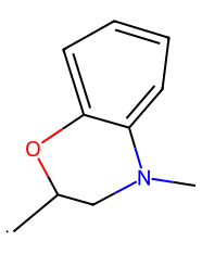 [CH2]C1CN(C)c2ccccc2O1